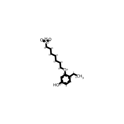 CCc1ccc(O)cc1OCCCCCCC[SH](=O)=O